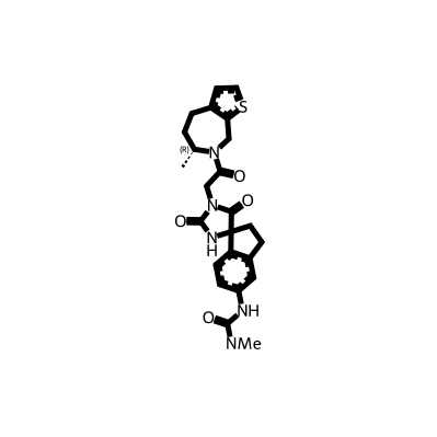 CNC(=O)Nc1ccc2c(c1)CCC21NC(=O)N(CC(=O)N2Cc3sccc3CC[C@H]2C)C1=O